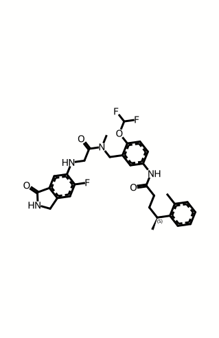 Cc1ccccc1[C@@H](C)CCC(=O)Nc1ccc(OC(F)F)c(CN(C)C(=O)CNc2cc3c(cc2F)CNC3=O)c1